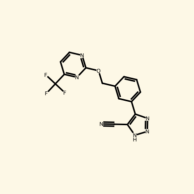 N#Cc1[nH]nnc1-c1cccc(COc2nccc(C(F)(F)F)n2)c1